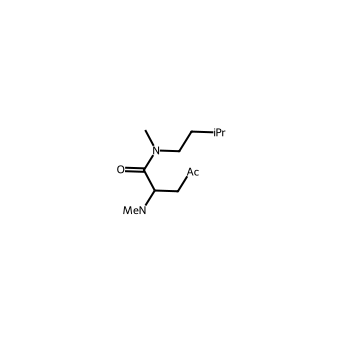 CNC(CC(C)=O)C(=O)N(C)CCC(C)C